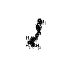 C[C@H]1C[C@H](OC2CCN(CC(=O)N3CCN(C(=O)c4cc(Cc5n[nH]c(=O)c6ccccc56)ccc4F)CC3)CC2)CCN1C(=O)[C@H](NC(=O)OC(C)(C)C)C1CCCCC1